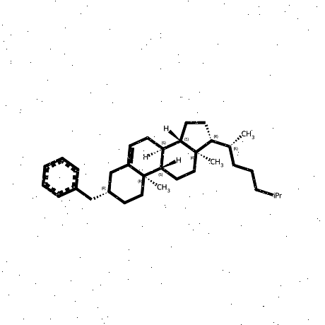 CC(C)CCC[C@@H](C)[C@H]1CC[C@H]2[C@@H]3CC=C4C[C@@H](Cc5ccccc5)CC[C@]4(C)[C@H]3CC[C@]12C